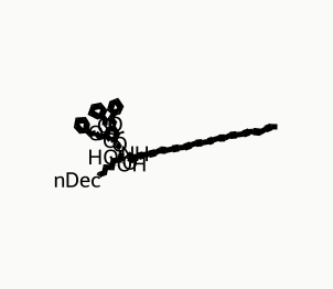 CC#CC#CC#CC#CC#CC#CC#CC#CC#CC#CC#CC#CC(=O)N[C@@H](CO[C@H]1OC(COCc2ccccc2)[C@@H](OCc2ccccc2)[C@@H](OCc2ccccc2)[C@H]1C)[C@H](O)[C@H](O)CCCCCCCCCCCCCC